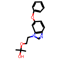 CC(C)(O)OCCn1cnc2ccc(Oc3ccccc3)cc21